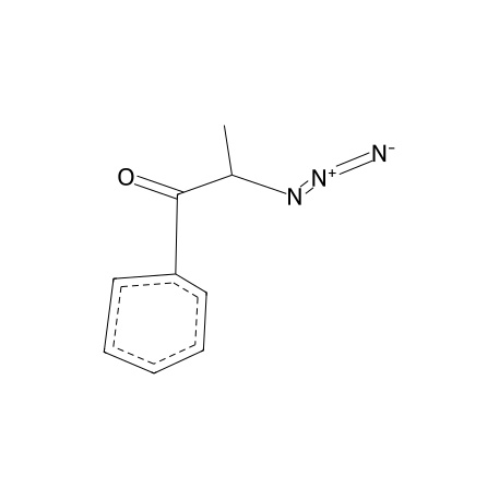 CC(N=[N+]=[N-])C(=O)c1ccccc1